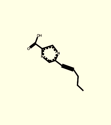 CCCC#Cc1cnc(C(=O)O)cn1